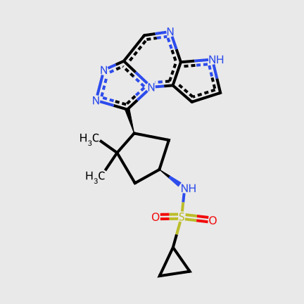 CC1(C)C[C@H](NS(=O)(=O)C2CC2)C[C@@H]1c1nnc2cnc3[nH]ccc3n12